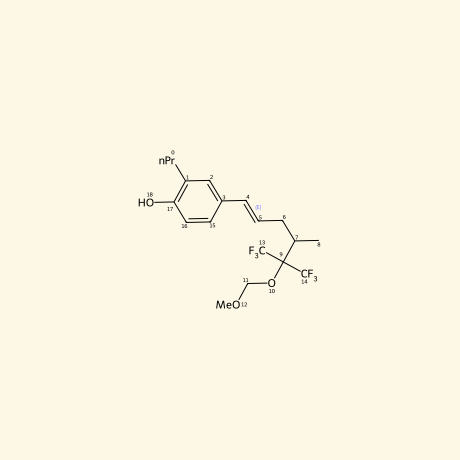 CCCc1cc(/C=C/CC(C)C(OCOC)(C(F)(F)F)C(F)(F)F)ccc1O